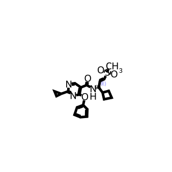 CS(=O)(=O)/C=C/[C@@H](NC(=O)c1cnc(C2CC2)nc1Oc1ccccc1)C1CCC1